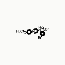 CCO[C@H]1CC[C@H](N2CCC(Nc3cc(Br)ccc3[N+](=O)[O-])CC2)CC1